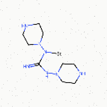 CCN(C(=N)NN1CCNCC1)N1CCNCC1